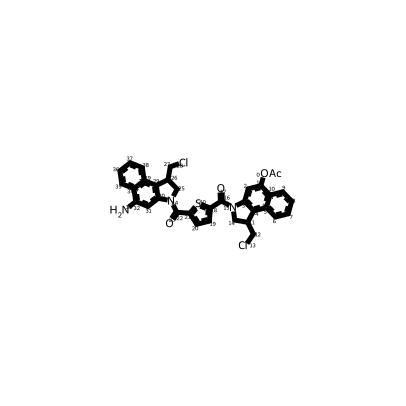 CC(=O)Oc1cc2c(c3ccccc13)C(CCl)CN2C(=O)c1ccc(C(=O)N2CC(CCl)c3c2cc(N)c2ccccc32)s1